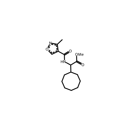 COC(=O)C(NC(=O)c1conc1C)C1CCCCCCC1